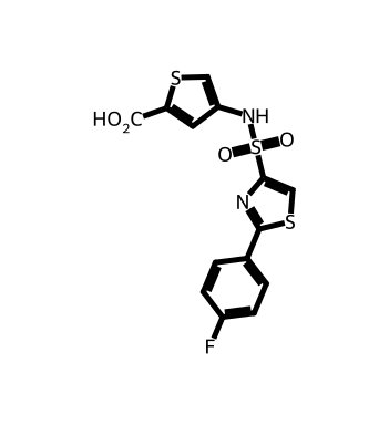 O=C(O)c1cc(NS(=O)(=O)c2csc(-c3ccc(F)cc3)n2)cs1